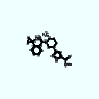 COC(=O)c1cc([C@@H]2CC[C@@H](C)N(C(=O)c3ccccc3C3(C#N)CC3)C2)no1